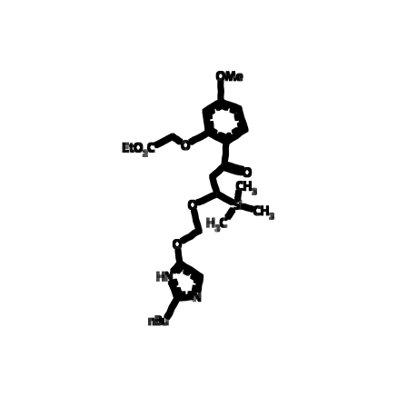 CCCCc1ncc(OCOC(CC(=O)c2ccc(OC)cc2OCC(=O)OCC)[Si](C)(C)C)[nH]1